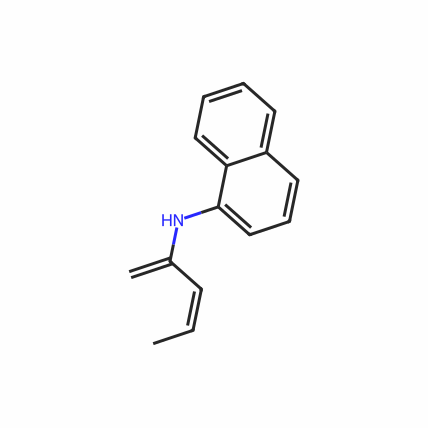 C=C(/C=C\C)Nc1cccc2ccccc12